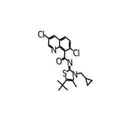 Cc1c(C(C)(C)C)s/c(=N\C(=O)c2c(Cl)ccc3cc(Cl)cnc23)n1CC1CC1